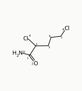 NC(=O)C(Cl)CCCCl